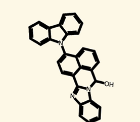 OC1c2cccc3c(-n4c5ccccc5c5ccccc54)ccc(c23)-c2nc3ccccc3n21